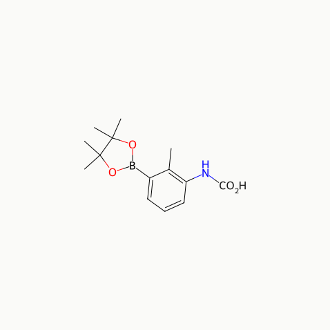 Cc1c(NC(=O)O)cccc1B1OC(C)(C)C(C)(C)O1